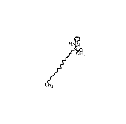 CCCCCCCCCCCCCCCCCCN(C(N)=O)c1nc2ccccc2[nH]1